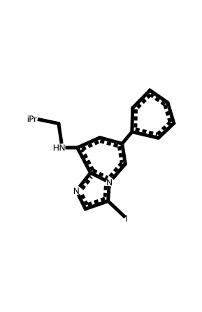 CC(C)CNc1cc(-c2ccccc2)cn2c(I)cnc12